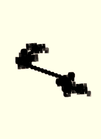 N=C(N)NCCCC(NC(=O)C(Cc1ccccc1)NC(=O)C(Cc1ccccc1)NC(=O)CCCCCCCCCCCCCCCCCCCCC(=O)NC(Cc1ccccc1)C(=O)NC(Cc1ccccc1)C(=O)NC(CCCNC(=N)N)C(=O)CCl)C(=O)CCl